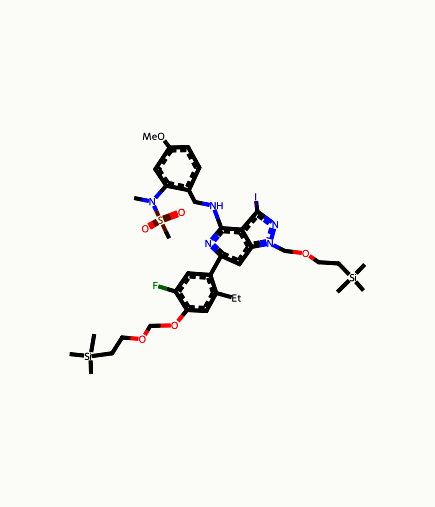 CCc1cc(OCOCC[Si](C)(C)C)c(F)cc1-c1cc2c(c(I)nn2COCC[Si](C)(C)C)c(NCc2ccc(OC)cc2N(C)S(C)(=O)=O)n1